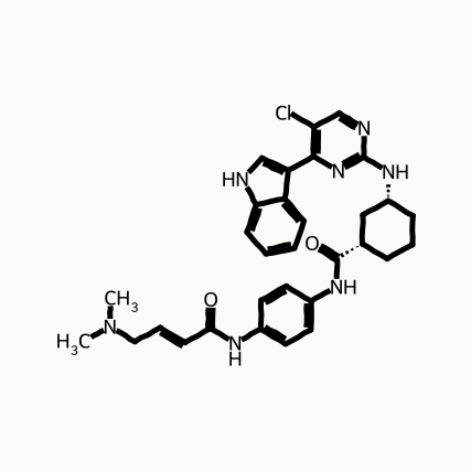 CN(C)C/C=C/C(=O)Nc1ccc(NC(=O)[C@H]2CCC[C@@H](Nc3ncc(Cl)c(-c4c[nH]c5ccccc45)n3)C2)cc1